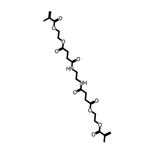 C=C(C)C(=O)OCCOC(=O)CCC(=O)NCCNC(=O)CCC(=O)OCCOC(=O)C(=C)C